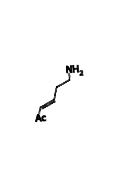 CC(=O)C=CCCN